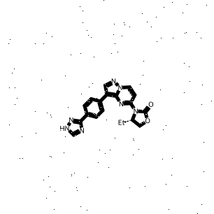 CC[C@H]1COC(=O)N1c1ccn2ncc(-c3ccc(-c4nc[nH]n4)cc3)c2n1